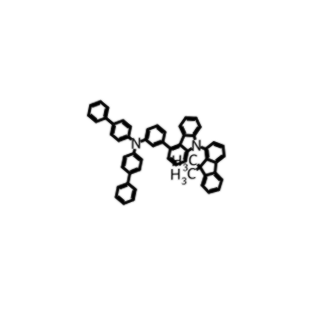 CC1(C)c2ccccc2-c2cccc(-n3c4ccccc4c4c(-c5cccc(N(c6ccc(-c7ccccc7)cc6)c6ccc(-c7ccccc7)cc6)c5)cccc43)c21